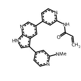 C=CC(=O)Nc1cc(-c2cnc3[nH]cc(-c4ccnc(NC)c4)c3c2)ccn1